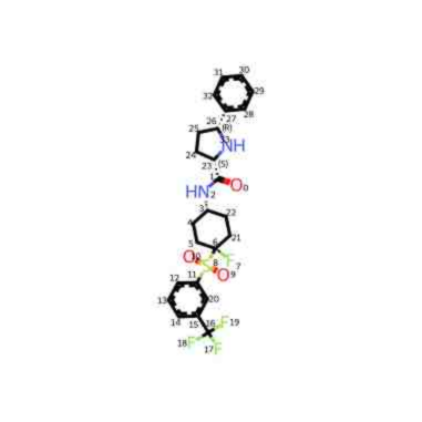 O=C(N[C@H]1CC[C@@](F)(S(=O)(=O)c2cccc(C(F)(F)F)c2)CC1)[C@@H]1CC[C@H](c2ccccc2)N1